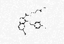 COC(=O)CCCNC(=O)c1cnc2ccc(C#N)cc2c1NCc1ccc(OC)c(Cl)c1